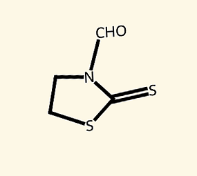 O=CN1CCSC1=S